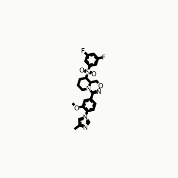 COc1cc(C2=NOCC3C(S(=O)(=O)c4cc(F)cc(F)c4)CCCN23)ccc1-n1cnc(C)c1